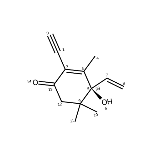 C#CC1=C(C)[C@](O)(C=C)C(C)(C)CC1=O